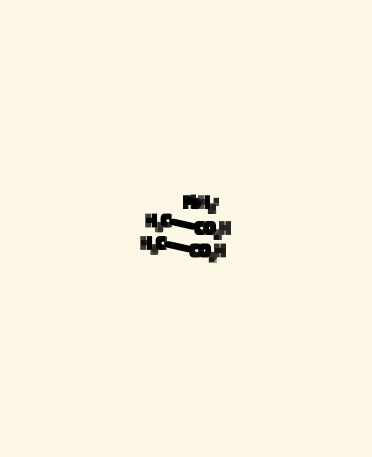 CC(=O)O.CC(=O)O.[PbH2]